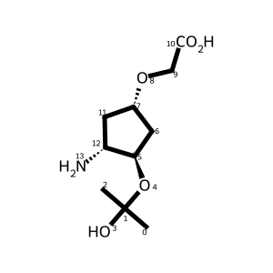 CC(C)(O)O[C@@H]1C[C@@H](OCC(=O)O)C[C@H]1N